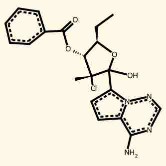 CC[C@H]1OC(O)(c2ccc3c(N)ncnn23)[C@](C)(Cl)[C@@H]1OC(=O)c1ccccc1